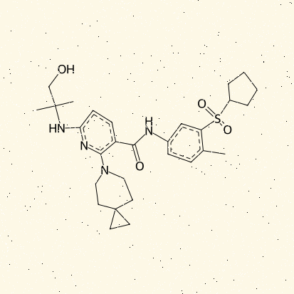 Cc1ccc(NC(=O)c2ccc(NC(C)(C)CO)nc2N2CCC3(CC2)CC3)cc1S(=O)(=O)C1CCCC1